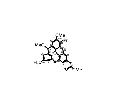 COC(=O)Cc1cc(Br)c(Oc2cc(C(C)C)c(OC)cc2C(OC)c2cccc(C)c2)c(Br)c1